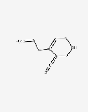 C=CCC1=CCN[C]C1=C=O